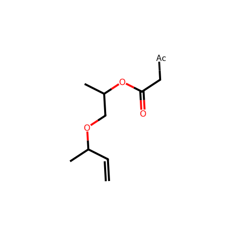 C=CC(C)OCC(C)OC(=O)CC(C)=O